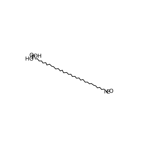 O=C=NCCCCCCCCCCCCCCCCCCCCCCCCCCCCCCCCCCP(=O)(O)O